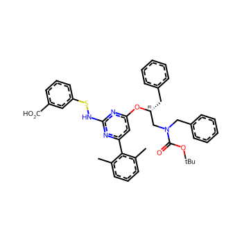 Cc1cccc(C)c1-c1cc(O[C@H](Cc2ccccc2)CN(Cc2ccccc2)C(=O)OC(C)(C)C)nc(NSc2cccc(C(=O)O)c2)n1